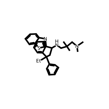 [CH2]CC(CC(NCC(C)(C)CN(C)C)c1nc2ccccc2s1)(c1ccccc1)c1ccccc1